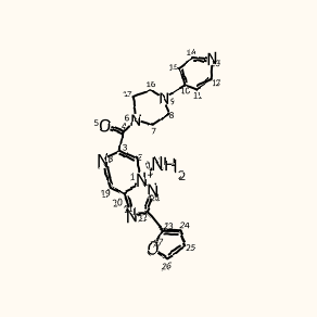 N[N+]12C=C(C(=O)N3CCN(c4ccncc4)CC3)N=CC1=NC(c1ccco1)=N2